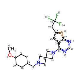 COC1CCC(CN2CC3(C2)CN(c2ncnc4sc(CC(F)(F)F)cc24)C3)CC1